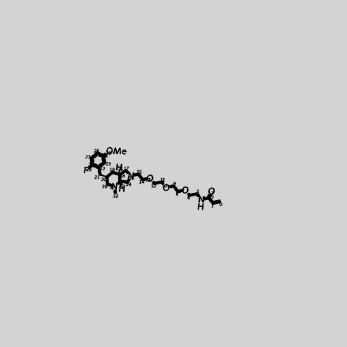 C=CC(=O)NCCOCCOCCOCCN1C[C@@H]2C[C@H](Cc3cc(OC)ccc3F)CN(C)[C@H]2C1